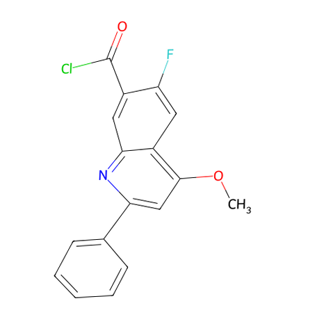 COc1cc(-c2ccccc2)nc2cc(C(=O)Cl)c(F)cc12